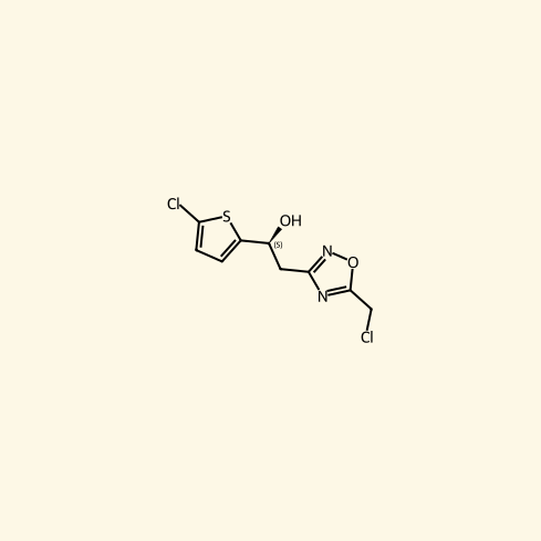 O[C@@H](Cc1noc(CCl)n1)c1ccc(Cl)s1